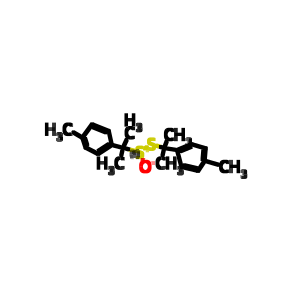 Cc1ccc(C(C)(C)S[S@@+]([O-])C(C)(C)c2ccc(C)cc2)cc1